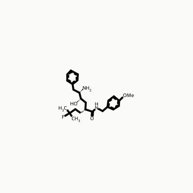 COc1ccc(CNC(=O)[C@H](CCC(C)(C)F)C[C@H](O)[C@@H](N)Cc2ccccc2)cc1